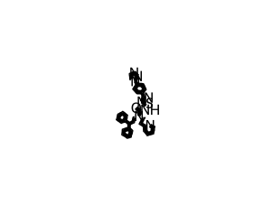 O=C(Nc1nc(-c2ccc(-n3ccnn3)cc2)ns1)N(CCc1ccccn1)CCC(c1ccccc1)c1ccccc1